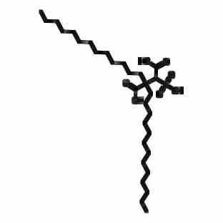 CCCCCCCCCCCCCC(CCCCCCCCCCCCC)(C(=O)O)C(C(=O)O)S(=O)(=O)O